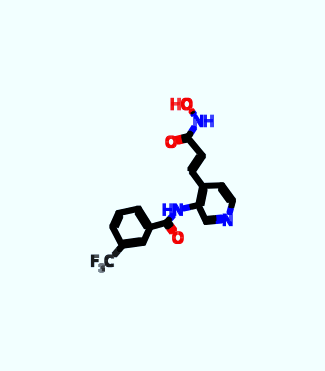 O=C(C=Cc1ccncc1NC(=O)c1cccc(C(F)(F)F)c1)NO